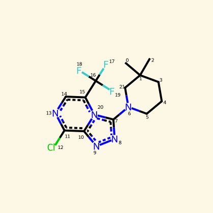 CC1(C)CCCN(c2nnc3c(Cl)ncc(C(F)(F)F)n23)C1